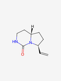 C=C[C@@H]1CC[C@H]2CCNC(=O)N21